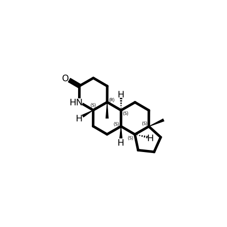 C[C@@]12CCC[C@H]1[C@@H]1CC[C@@H]3NC(=O)CC[C@]3(C)[C@H]1CC2